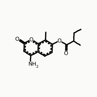 CCC(C)C(=O)Oc1ccc2c(N)cc(=O)oc2c1C